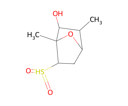 CC1C2CC([SH](=O)=O)C(C)(O2)C1O